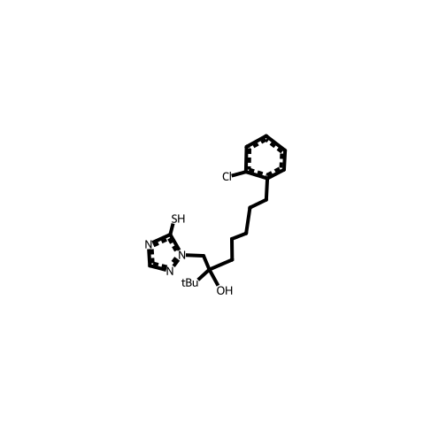 CC(C)(C)C(O)(CCCCCc1ccccc1Cl)Cn1ncnc1S